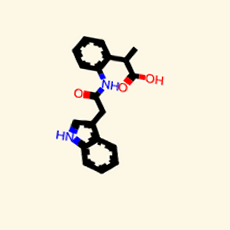 CC(C(=O)O)c1ccccc1NC(=O)Cc1c[nH]c2ccccc12